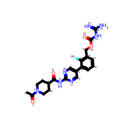 CC(=O)N1CCC(C(=O)Nc2ncc(-c3cccc(COC(=O)NC(=N)N)c3F)cn2)CC1